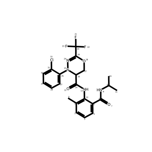 Cc1cccc(C(=O)NC(C)C)c1NC(=O)C1COC(C(F)(F)F)=NN1c1ccccc1Cl